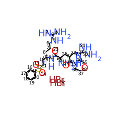 Br.Br.N=C(N)NCCC[C@@H](/C=C/S(=O)(=O)c1ccccc1)NC(=O)[C@@H](N)CC(CNC(=N)N)C(=O)N1CCOCC1